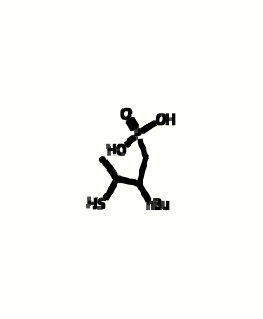 CCCCC(CP(=O)(O)O)C(C)S